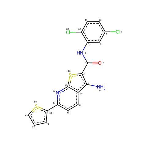 Nc1c(C(=O)Nc2cc(Cl)ccc2Cl)sc2nc(-c3cccs3)ccc12